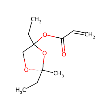 C=CC(=O)OC1(CC)COC(C)(CC)O1